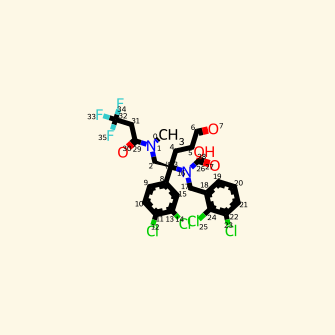 CN(C[C@](CCC=O)(c1ccc(Cl)c(Cl)c1)N(Cc1cccc(Cl)c1Cl)C(=O)O)C(=O)CC(F)(F)F